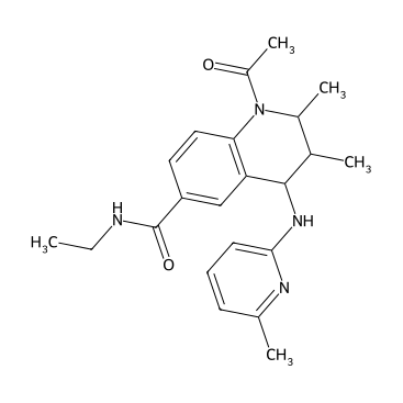 CCNC(=O)c1ccc2c(c1)C(Nc1cccc(C)n1)C(C)C(C)N2C(C)=O